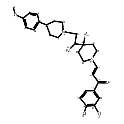 COc1ccc(C2CCN(CC(O)C3(O)CCN(C=CC(=O)c4ccc(Cl)c(Cl)c4)CC3)CC2)cc1